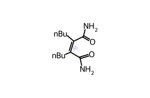 CCCC/C(C(N)=O)=C(\CCCC)C(N)=O